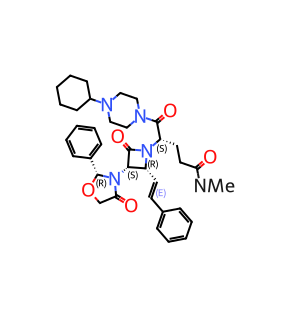 CNC(=O)CC[C@@H](C(=O)N1CCN(C2CCCCC2)CC1)N1C(=O)[C@@H](N2C(=O)CO[C@@H]2c2ccccc2)[C@H]1/C=C/c1ccccc1